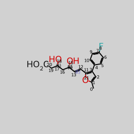 Cc1cc(-c2ccc(F)cc2)c(/C=C/[C@@H](O)C[C@H](O)CC(=O)O)o1